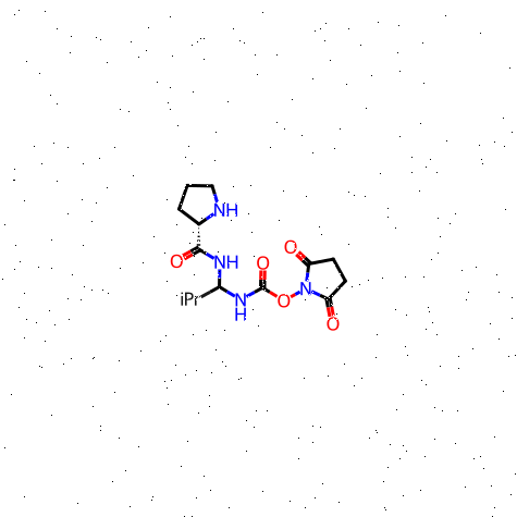 CC(C)C(NC(=O)ON1C(=O)CCC1=O)NC(=O)[C@@H]1CCCN1